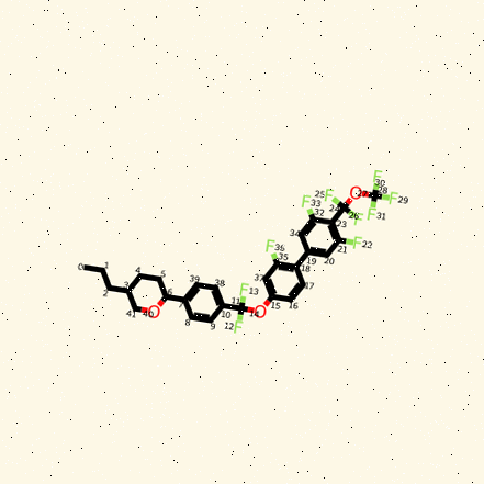 CCCC1CCC(c2ccc(C(F)(F)Oc3ccc(-c4cc(F)c(C(F)(F)OC(F)(F)F)c(F)c4)c(F)c3)cc2)OC1